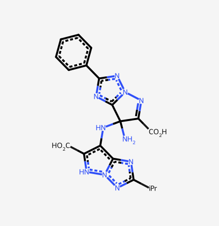 CC(C)c1nc2c(NC3(N)C(C(=O)O)=Nn4nc(-c5ccccc5)nc43)c(C(=O)O)[nH]n2n1